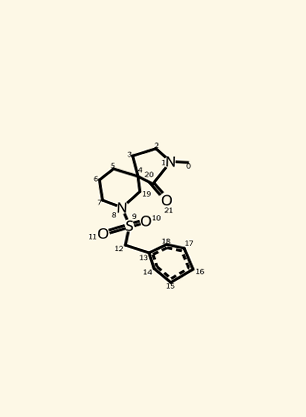 CN1CCC2(CCCN(S(=O)(=O)Cc3ccccc3)C2)C1=O